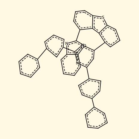 c1ccc(-c2ccc(-c3cc(-c4cccc5sc6cccc(-c7nc8ccccc8o7)c6c45)nc(-c4cccc(-c5ccccc5)c4)n3)cc2)cc1